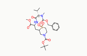 COC(=O)C(CC1CN(C(=O)OC(C)(C)C)CCS1(=O)=O)NC(=O)[C@H](C(C)C)N(C)C(=O)OCc1ccccc1